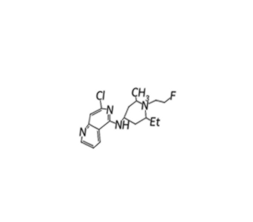 CCC1CC(Nc2nc(Cl)cc3ncccc23)CC(C)N1CCF